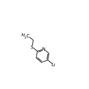 [Li][c]1ccc(SCC)nc1